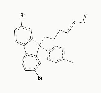 C=C/C=C/CCCC1(c2ccc(C)cc2)c2cc(Br)ccc2-c2ccc(Br)cc21